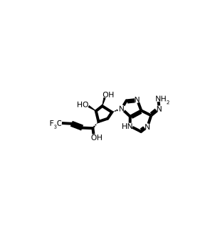 N/N=c1/nc[nH]c2c1ncn2[C@@H]1C[C@H](C(O)C#CC(F)(F)F)[C@@H](O)[C@H]1O